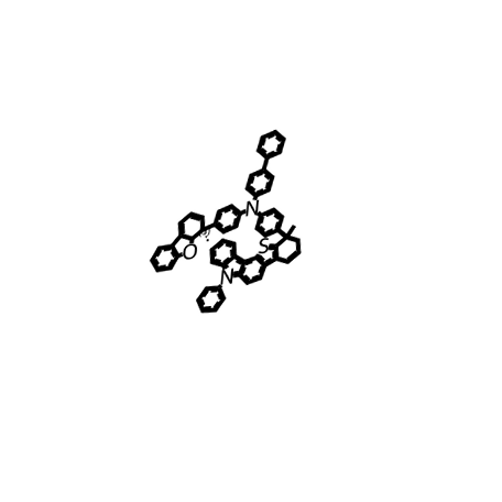 CC1(c2ccc(N(c3ccc(-c4ccccc4)cc3)c3ccc([C@]4(C)C=CC=C5c6ccccc6OC54)cc3)cc2)CC=Cc2c1sc1c2ccc2c1c1ccccc1n2-c1ccccc1